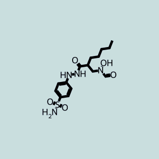 CCCCCC(CN(O)C=O)C(=O)NNc1ccc(S(N)(=O)=O)cc1